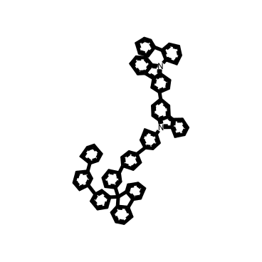 c1ccc(-c2cccc(-c3cccc(C4(c5cccc(-c6ccc(-c7ccc(-n8c9ccccc9c9cc(-c%10ccc%11c(c%10)c%10ccccc%10n%11-c%10ccccc%10-c%10ccccc%10)ccc98)cc7)cc6)c5)c5ccccc5-c5ccccc54)c3)c2)cc1